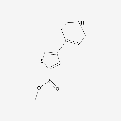 COC(=O)c1cc(C2=CCNCC2)cs1